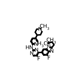 CN1CCC(c2ccc(Nc3ncc(F)c(-c4cc(F)c5nc6n(c5c4)C(C)(C)CC6)n3)nc2)CC1